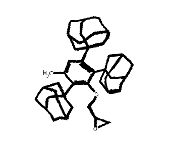 Cc1cc(C23CC4CC(CC(C4)C2)C3)c(C23CC4CC(CC(C4)C2)C3)c(OCC2CO2)c1C12CC3CC(CC(C3)C1)C2